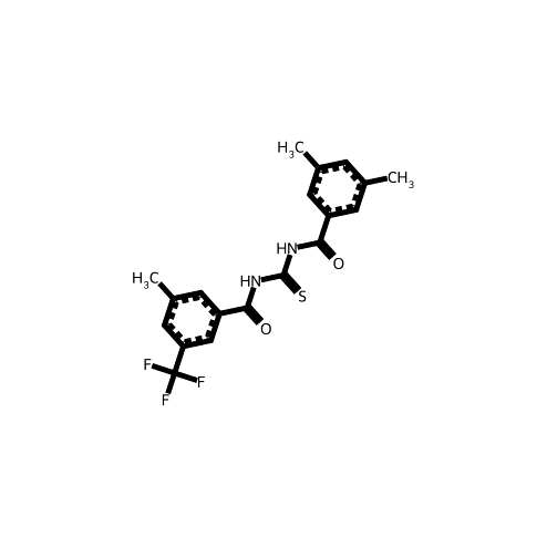 Cc1cc(C)cc(C(=O)NC(=S)NC(=O)c2cc(C)cc(C(F)(F)F)c2)c1